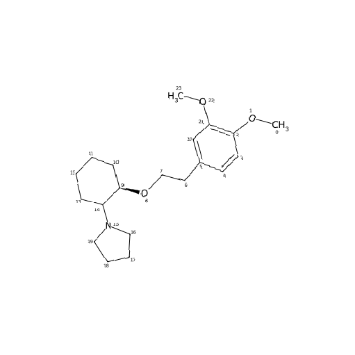 COc1ccc(CCO[C@@H]2CCCCC2N2CCCC2)cc1OC